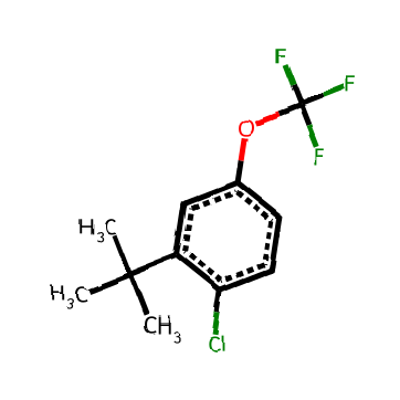 CC(C)(C)c1cc(OC(F)(F)F)ccc1Cl